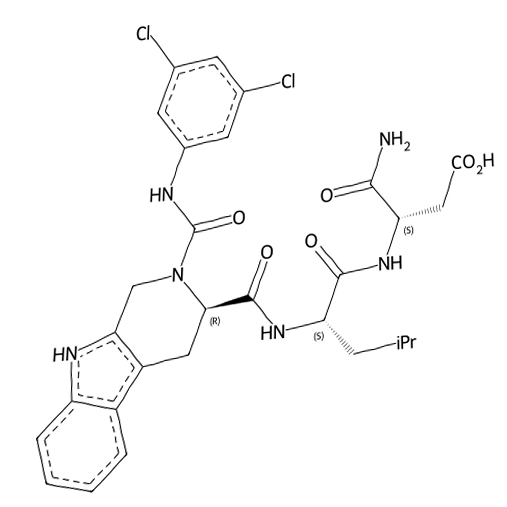 CC(C)C[C@H](NC(=O)[C@H]1Cc2c([nH]c3ccccc23)CN1C(=O)Nc1cc(Cl)cc(Cl)c1)C(=O)N[C@@H](CC(=O)O)C(N)=O